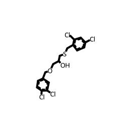 OC(COCc1ccc(Cl)c(Cl)c1)CSCc1ccc(Cl)cc1Cl